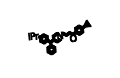 CC(C)c1ccc(C(c2ccccc2)C2CCN(CCCC(=O)c3ccc(C4CC4)cc3)CC2)cc1